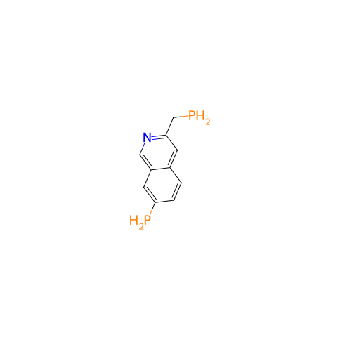 PCc1cc2ccc(P)cc2cn1